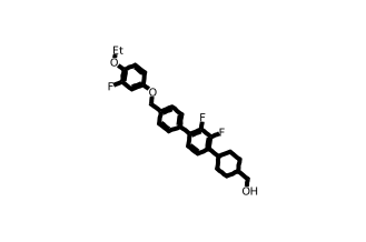 CCOc1ccc(OCc2ccc(-c3ccc(C4CCC(CO)CC4)c(F)c3F)cc2)cc1F